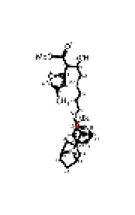 COC(=O)C(c1cc(C)no1)C(C)COCCCOc1cc(N2C3CCC2CN(C(=O)OC(C)(C)C)C3)ccn1